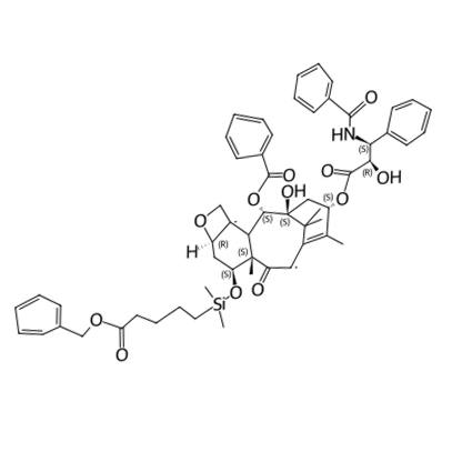 CC1=C2[CH]C(=O)[C@@]3(C)C([C]4CO[C@@H]4C[C@@H]3O[Si](C)(C)CCCCC(=O)OCc3ccccc3)[C@H](OC(=O)c3ccccc3)[C@](O)(C[C@@H]1OC(=O)[C@H](O)[C@@H](NC(=O)c1ccccc1)c1ccccc1)C2(C)C